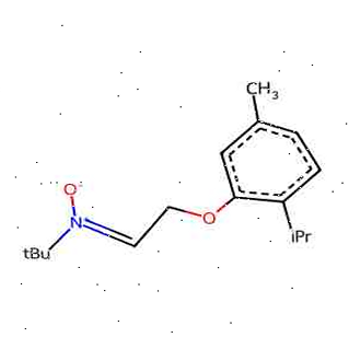 Cc1ccc(C(C)C)c(OCC=[N+]([O-])C(C)(C)C)c1